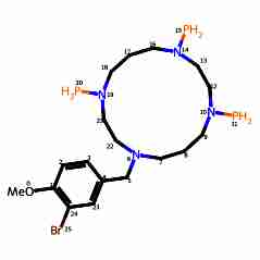 COc1ccc(CN2CCCN(P)CCN(P)CCCN(P)CC2)cc1Br